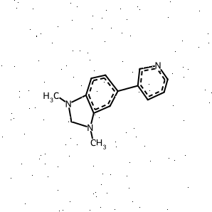 CN1[CH]N(C)c2cc(-c3cccnc3)ccc21